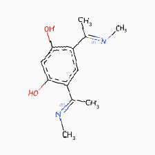 C/N=C(\C)c1cc(/C(C)=N/C)c(O)cc1O